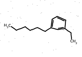 CCCCCCc1c[c]cc(CC)c1